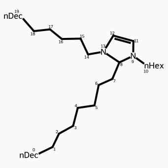 CCCCCCCCCCCCCCCCCC1N(CCCCCC)C=CN1CCCCCCCCCCCCCCC